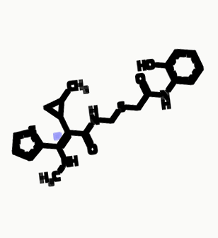 CN/C(=C(\C(=O)NCSCC(=O)Nc1ccccc1O)C1CC1C)c1cccs1